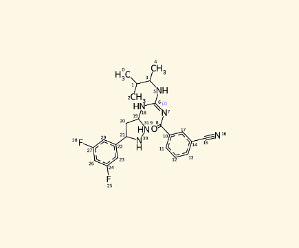 CC(C)C(C)N/C(=N/C(=O)c1cccc(C#N)c1)NC1CC(c2cc(F)cc(F)c2)NN1